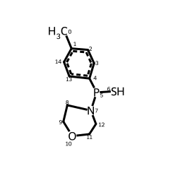 Cc1ccc(P(S)N2CCOCC2)cc1